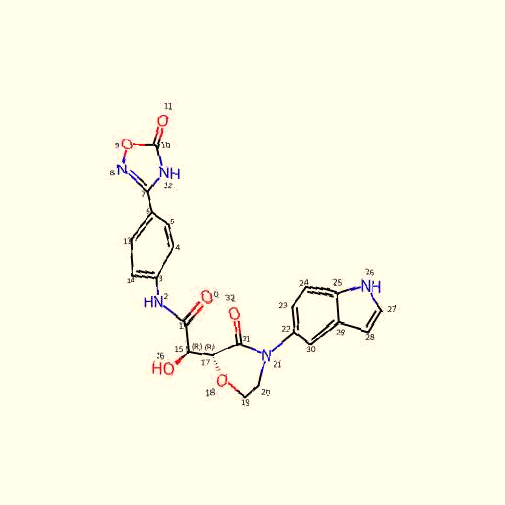 O=C(Nc1ccc(-c2noc(=O)[nH]2)cc1)[C@H](O)[C@H]1OCCN(c2ccc3[nH]ccc3c2)C1=O